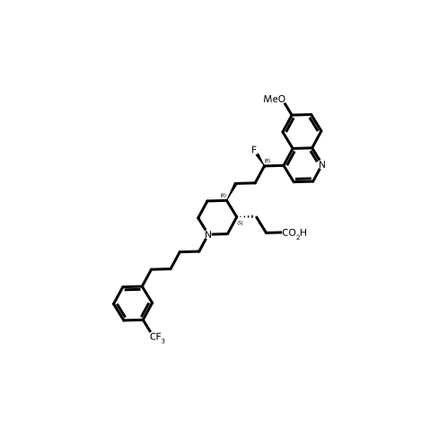 COc1ccc2nccc([C@H](F)CC[C@@H]3CCN(CCCCc4cccc(C(F)(F)F)c4)C[C@H]3CCC(=O)O)c2c1